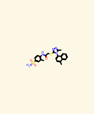 Cc1cc(S(N)(=O)=O)ccc1NC(=O)CSc1nnc(C)n1-c1ccc(C)c2ccccc12